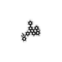 Cc1nc2ccccc2n1-c1ccc(-c2c3ccccc3c(-c3cccc4sc5ccccc5c34)c3cc(-c4ccccc4)ccc23)cc1